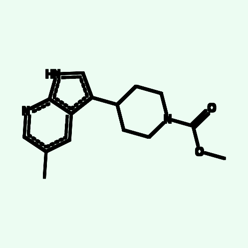 COC(=O)N1CCC(c2c[nH]c3ncc(C)cc23)CC1